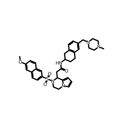 COc1ccc2cc(S(=O)(=O)N3CCn4cccc4C3CC(=O)NC3CCc4cc(CN5CCN(C)CC5)ccc4C3)ccc2c1